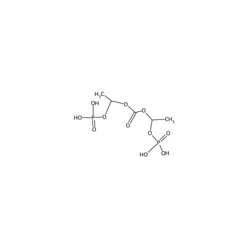 CC(OC(=O)OC(C)OP(=O)(O)O)OP(=O)(O)O